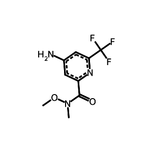 CON(C)C(=O)c1cc(N)cc(C(F)(F)F)n1